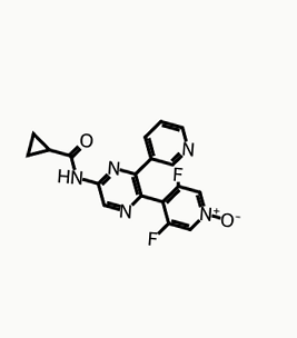 O=C(Nc1cnc(-c2c(F)c[n+]([O-])cc2F)c(-c2cccnc2)n1)C1CC1